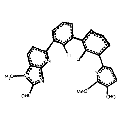 COc1nc(-c2cccc(-c3cccc(-c4ccc5c(n4)nc(C=O)n5C)c3Cl)c2Cl)ccc1C=O